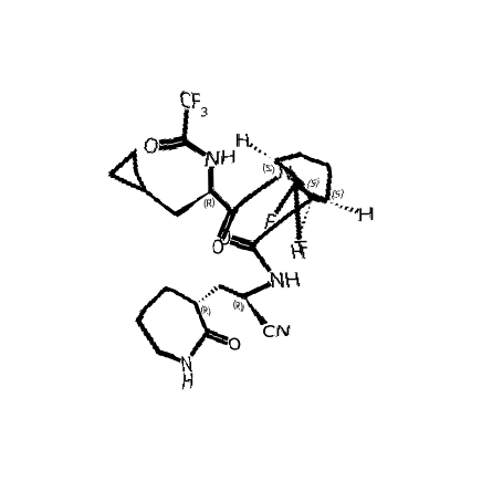 N#C[C@@H](C[C@H]1CCCNC1=O)NC(=O)[C@@H]1[C@@H]2CC[C@@H](CC2(F)F)N1C(=O)[C@@H](CC1CC1)NC(=O)C(F)(F)F